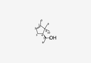 CC1=CC[C@H](C(C)O)C1(C)C